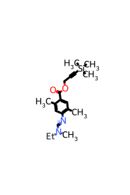 CCN(C)/C=N/c1cc(C)c(C(=O)OCC#C[Si](C)(C)C)cc1C